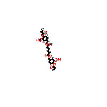 C=CC(=O)OC1CCC(COC(=O)CCCCC(=O)OCC2CCC(OC(=O)C=C)C(O)C2)CC1O